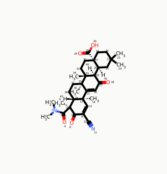 CN(C)C(=O)[C@]1(C)C(=O)C(C#N)=C[C@]2(C)C3=CC(=O)[C@@H]4[C@@H]5CC(C)(C)CC[C@]5(C(=O)O)CC[C@@]4(C)[C@]3(C)CC[C@@H]12